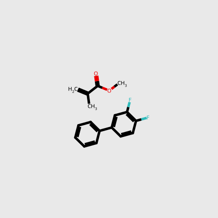 C=C(C)C(=O)OC.Fc1ccc(-c2ccccc2)cc1F